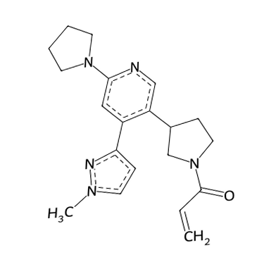 C=CC(=O)N1CCC(c2cnc(N3CCCC3)cc2-c2ccn(C)n2)C1